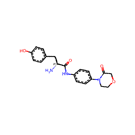 N[C@H](Cc1ccc(O)cc1)C(=O)Nc1ccc(N2CCOCC2=O)cc1